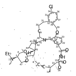 CCN(C)[C@H]1CO[C@@H]([C@H]2CCC[C@H](C)[C@@H](C)S(=O)(=O)NC(=O)c3ccc4c(c3)N(CCCCc3cc(Cl)ccc3CO4)C[C@@H]3CC[C@H]32)OC1